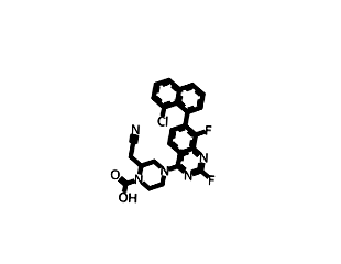 N#CCC1CN(c2nc(F)nc3c(F)c(-c4cccc5cccc(Cl)c45)ccc23)CCN1C(=O)O